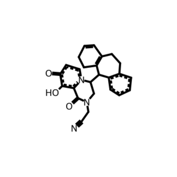 N#CCN1CC(C2C3=C(C=CCC3)CCc3ccccc32)n2ccc(=O)c(O)c2C1=O